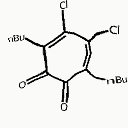 CCCCC1=C(Cl)C(Cl)=C(CCCC)C(=O)C1=O